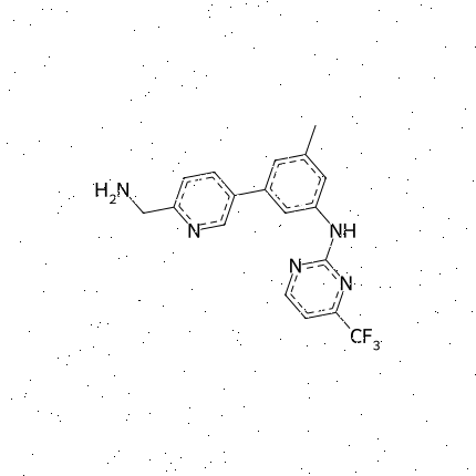 Cc1cc(Nc2nccc(C(F)(F)F)n2)cc(-c2ccc(CN)nc2)c1